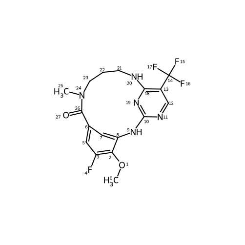 COc1c(F)cc2cc1Nc1ncc(C(F)(F)F)c(n1)NCCCN(C)C2=O